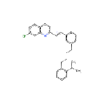 C=C(C)c1ccccc1CCCCc1cccc(/C=C/c2ccc3ccc(Cl)cc3n2)c1